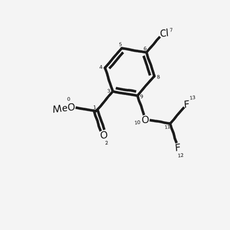 COC(=O)c1ccc(Cl)cc1OC(F)F